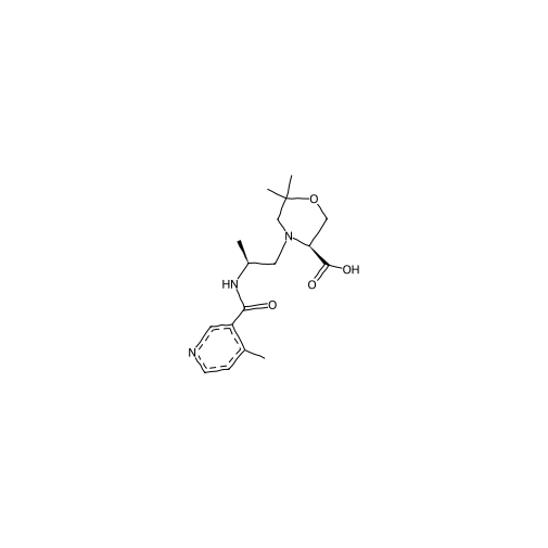 Cc1ccncc1C(=O)N[C@@H](C)CN1CC(C)(C)OC[C@H]1C(=O)O